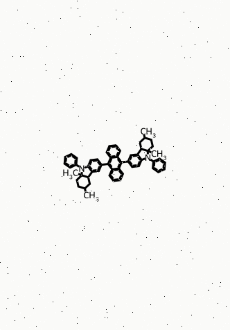 CC1CCC2(C)C(C1)c1cc(-c3c4ccccc4c(-c4ccc5c(c4)C4CC(C)CCC4(C)N5c4ccccc4)c4ccccc34)ccc1N2c1ccccc1